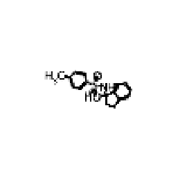 Cc1ccc(S(=O)(=O)NC2(O)CCc3ccccc32)cc1